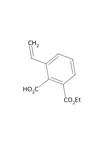 C=Cc1cccc(C(=O)OCC)c1C(=O)O